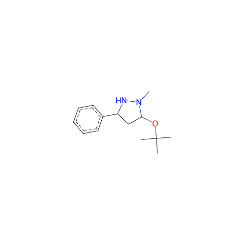 CN1NC(c2ccccc2)CC1OC(C)(C)C